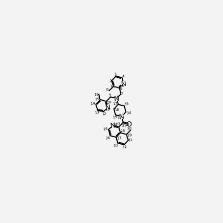 Cc1cccnc1CN(Cc1ncccc1C)C1CCN(C(=O)c2nccc3c2C(C)CC=C3)CC1